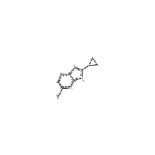 Brc1ccc2sc(C3CC3)nc2c1